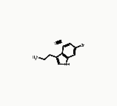 C#N.NCCc1c[nH]c2cc(Br)ccc12